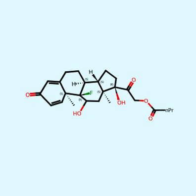 CCCC(=O)OCC(=O)[C@@]1(O)CC[C@H]2[C@@H]3CCC4=CC(=O)C=C[C@]4(C)[C@@]3(F)C(O)C[C@@]21C